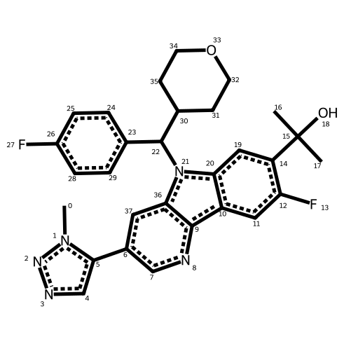 Cn1nncc1-c1cnc2c3cc(F)c(C(C)(C)O)cc3n(C(c3ccc(F)cc3)C3CCOCC3)c2c1